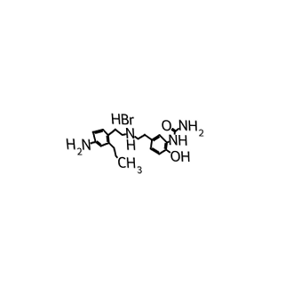 Br.CCCc1cc(N)ccc1CCNCCc1ccc(O)c(NC(N)=O)c1